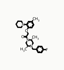 Cc1ccc(OCC(=O)N2C[C@H](C)N(Cc3ccc(F)cc3)C[C@H]2C)c(N2CCCCC2)c1